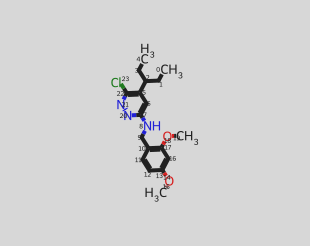 CCC(CC)c1cc(NCc2ccc(OC)cc2OC)nnc1Cl